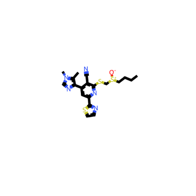 CCCC[S+]([O-])CSc1nc(-c2nccs2)cc(-c2ncn(C)c2C)c1C#N